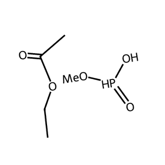 CCOC(C)=O.CO[PH](=O)O